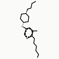 CCCCCCc1ncc(O[C@H]2CC[C@H](CCCC)CC2)cc1C